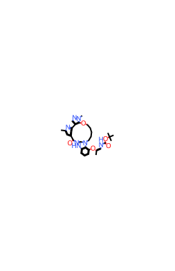 C/C(=C/NC(=O)OC(C)(C)C)Oc1cccc2c1N1CCCCCOc3c(cnn3C)-c3cc(cc(C)n3)C(=O)/N=C/1N2